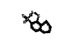 CCOc1c(S(=O)(=O)Cl)ccc2ccccc12